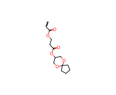 C=CC(=O)OCCC(=O)OC1COC2(CCCC2)OC1